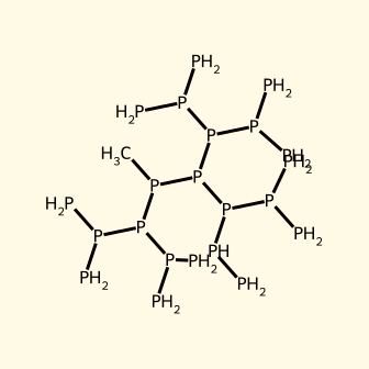 CP(P(P(P)P)P(P)P)P(P(PP)P(P)P)P(P(P)P)P(P)P